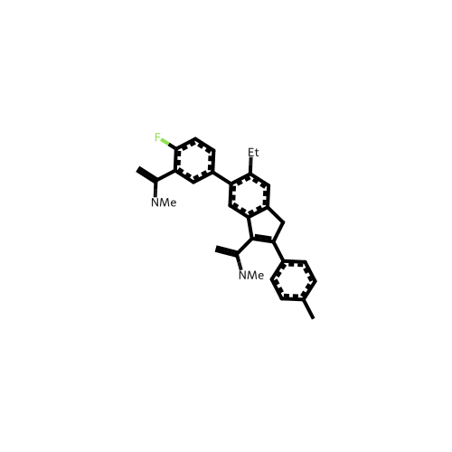 C=C(NC)C1=C(c2ccc(C)cc2)Cc2cc(CC)c(-c3ccc(F)c(C(=C)NC)c3)cc21